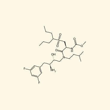 CCCC(CCC)S(=O)(=O)C[C@@H](NC(=O)OC)C(=O)N(CCC(C)C)C[C@@H](O)[C@@H](N)Cc1cc(F)cc(F)c1